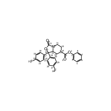 O=C(Oc1ccccc1)N1CCN2C(=O)OC(c3ccc(F)cc3)(c3ccc(F)cc3)C2C1